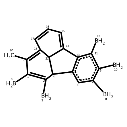 BC1=C(B)C2c3cc(B)c(B)c(B)c3C3=CC=CC(=C1C)C32